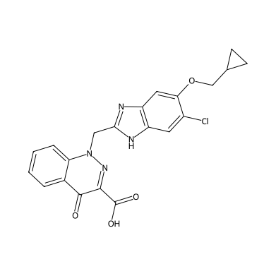 O=C(O)c1nn(Cc2nc3cc(OCC4CC4)c(Cl)cc3[nH]2)c2ccccc2c1=O